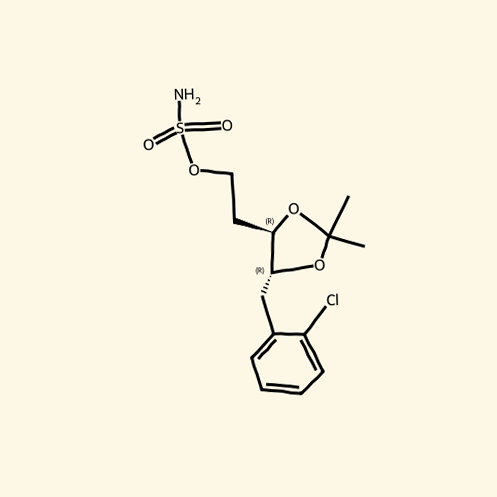 CC1(C)O[C@H](CCOS(N)(=O)=O)[C@@H](Cc2ccccc2Cl)O1